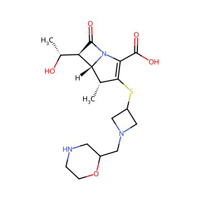 C[C@@H](O)[C@H]1C(=O)N2C(C(=O)O)=C(SC3CN(CC4CNCCO4)C3)[C@H](C)[C@H]12